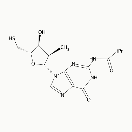 CC(C)C(=O)Nc1nc2c(ncn2[C@@H]2O[C@H](CS)[C@@H](O)[C@H]2C)c(=O)[nH]1